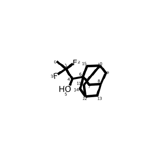 CC(F)(F)C(O)C12CC3CC(CC(C3)C1)C2